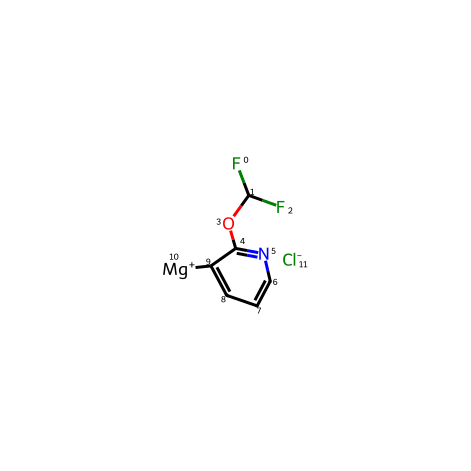 FC(F)Oc1nccc[c]1[Mg+].[Cl-]